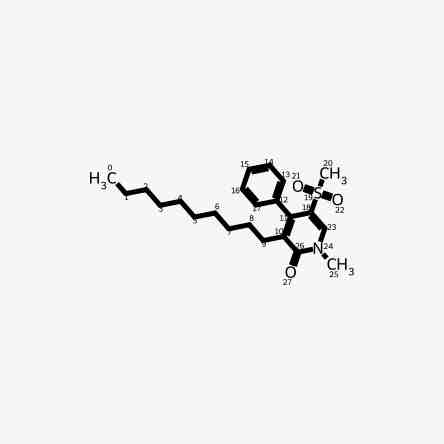 CCCCCCCCCCc1c(-c2ccccc2)c(S(C)(=O)=O)cn(C)c1=O